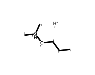 CCCO[SiH](C)C.[H+]